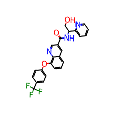 O=C(NC(CO)c1ccccn1)c1cnc2c(Oc3ccc(C(F)(F)F)cc3)cccc2c1